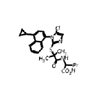 CC(C)C(NC(=O)C(C)(C)Sc1ncc(Cl)n1-c1ccc(C2CC2)c2ccccc12)C(=O)O